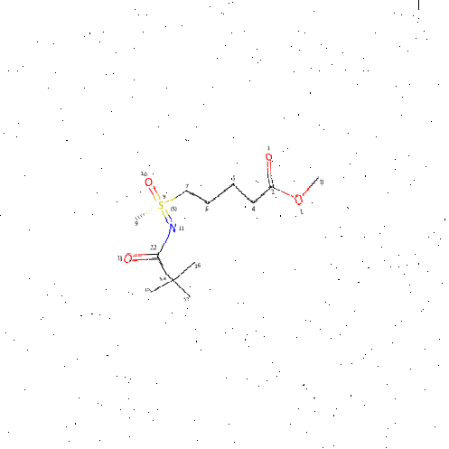 COC(=O)CCCC[S@](C)(=O)=NC(=O)C(C)(C)C